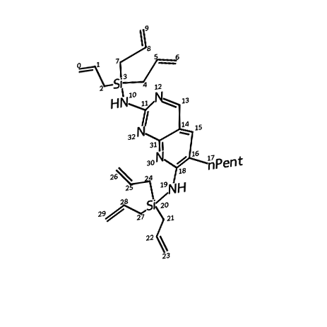 C=CC[Si](CC=C)(CC=C)Nc1ncc2cc(CCCCC)c(N[Si](CC=C)(CC=C)CC=C)nc2n1